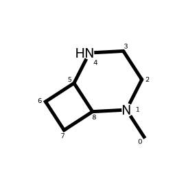 CN1CCNC2CCC21